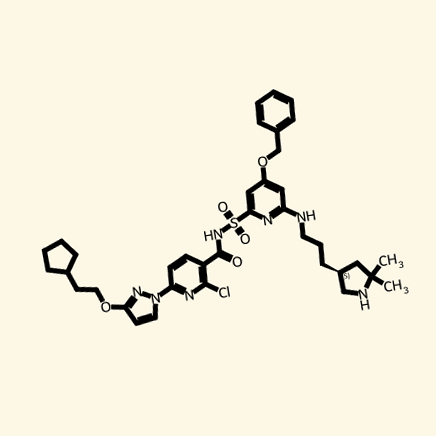 CC1(C)C[C@H](CCCNc2cc(OCc3ccccc3)cc(S(=O)(=O)NC(=O)c3ccc(-n4ccc(OCCC5CCCC5)n4)nc3Cl)n2)CN1